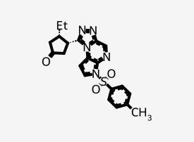 CC[C@H]1CC(=O)C[C@H]1c1nnc2cnc3c(ccn3S(=O)(=O)c3ccc(C)cc3)n12